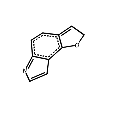 C1=Cc2c3c(ccc2=N1)=CCO3